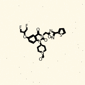 O=CN1CCC(n2c(=O)n(Cc3nc(-c4cccs4)no3)c(=O)c3cc(OC(CF)CF)ccc32)CC1